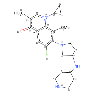 COc1c(N2CCC(NC3CCNCC3)C2)c(F)cc2c(=O)c(C(=O)O)cn(C3CC3)c12